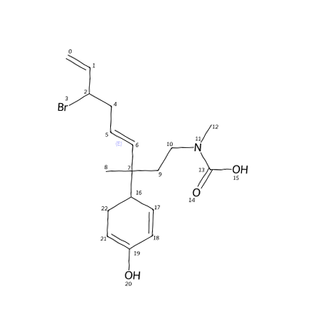 C=CC(Br)C/C=C/C(C)(CCN(C)C(=O)O)C1C=CC(O)=CC1